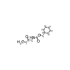 C=CC(=O)CNC(=O)OCc1ccccc1